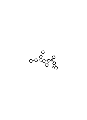 CC1(C)c2ccccc2-c2ccc(N(c3ccccc3)c3ccc(-c4ccc(CC(c5ccc(-c6ccccc6)cc5)c5ccc(-c6ccccc6)cc5)cc4-c4ccccc4)cc3)cc21